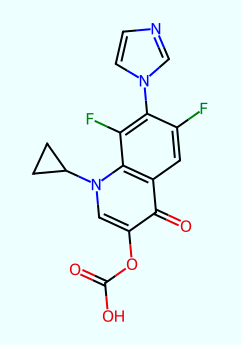 O=C(O)Oc1cn(C2CC2)c2c(F)c(-n3ccnc3)c(F)cc2c1=O